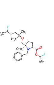 CCCC(F)OC(=O)[C@H]1CC[C@](C=O)(CO[Si](C)(C)CCC(C)F)N1Cc1ccccc1